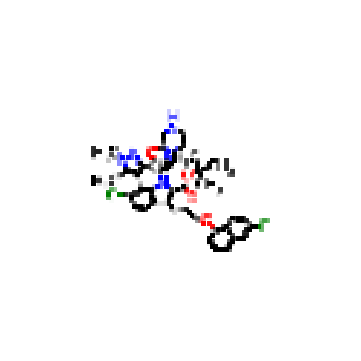 Cc1nn(C)c(C)c1-c1c(Cl)ccc2c(CCCOc3cccc4cc(F)ccc34)c(C(=O)OC(C)(C)C)n(CCN3CCNCC3=O)c12